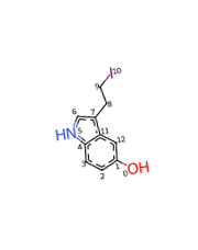 Oc1ccc2[nH]cc(CCI)c2c1